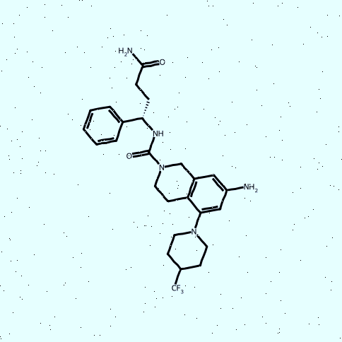 NC(=O)CC[C@H](NC(=O)N1CCc2c(cc(N)cc2N2CCC(C(F)(F)F)CC2)C1)c1ccccc1